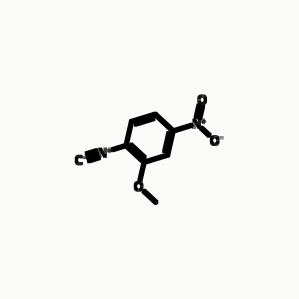 [C-]#[N+]c1ccc([N+](=O)[O-])cc1OC